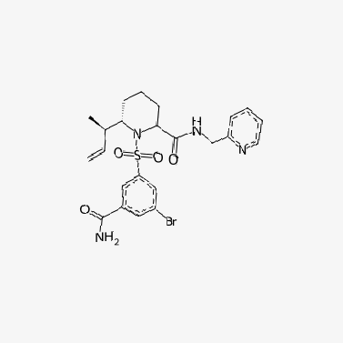 C=C[C@@H](C)[C@@H]1CCCC(C(=O)NCc2ccccn2)N1S(=O)(=O)c1cc(Br)cc(C(N)=O)c1